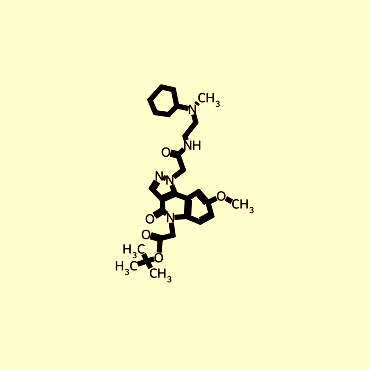 COc1ccc2c(c1)c1c(cnn1CC(=O)NCCN(C)C1CCCCC1)c(=O)n2CC(=O)OC(C)(C)C